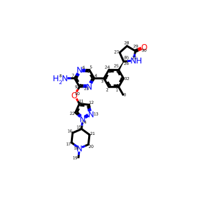 Cc1cc(-c2cnc(N)c(Oc3cnn(C4CCN(C)CC4)c3)n2)cc([C@H]2CCC(=O)N2)c1